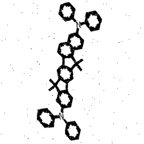 CC1(C)c2cc(N(c3ccccc3)c3ccccc3)ccc2-c2cc3c(cc21)-c1ccc2cc(N(c4ccccc4)c4ccccc4)ccc2c1C3(C)C